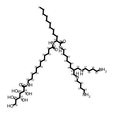 CCCCCCCCCCC(NC(=O)CCCCCCCCCCCNC(=O)[C@H](O)[C@@H](O)[C@H](O)[C@H](O)CO)C(=O)NCCCCCCC(CNCCCCN)CNCCCCN